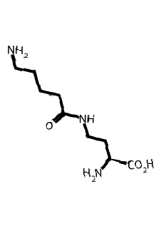 NCCCCC(=O)NCC[C@H](N)C(=O)O